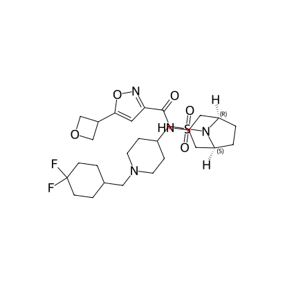 O=C(NC1C[C@H]2CC[C@@H](C1)N2S(=O)(=O)CC1CCN(CC2CCC(F)(F)CC2)CC1)c1cc(C2COC2)on1